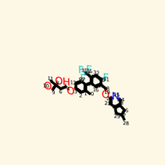 Cc1cc(OCCC2(O)COC2)ccc1-c1cc(COc2cc3c(cn2)CC(C)C3)c(F)cc1C(F)(F)F